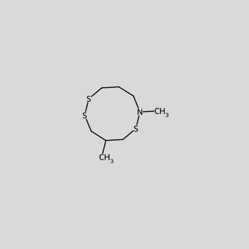 CC1CSSCCCN(C)SC1